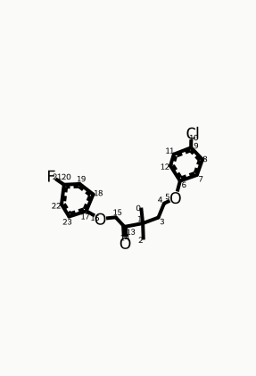 CC(C)(CCOc1ccc(Cl)cc1)C(=O)COc1ccc(F)cc1